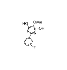 COc1c(O)nc(-c2cccc(F)c2)nc1O